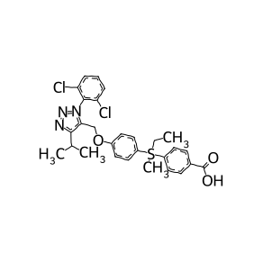 CCS(C)(c1ccc(OCc2c(C(C)C)nnn2-c2c(Cl)cccc2Cl)cc1)c1ccc(C(=O)O)cc1